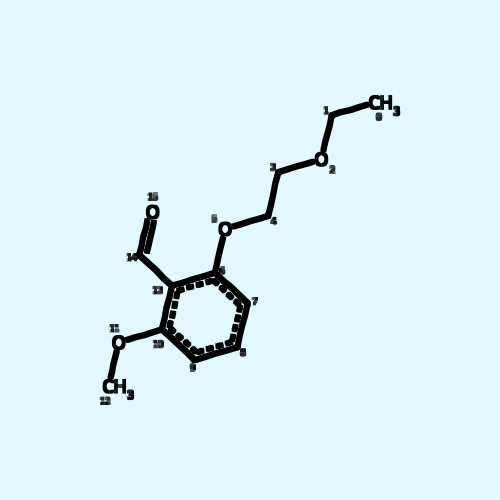 CCOCCOc1cccc(OC)c1C=O